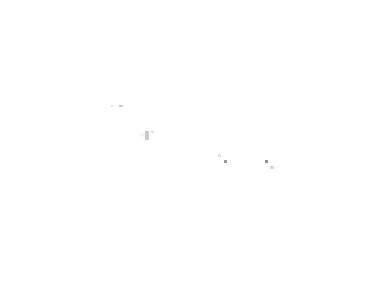 C[C@@H]1N=C(C(C)(C)C)N2C[C@H](NC(=O)OC(C)(C)C)CC2=C1C(C)(C)C